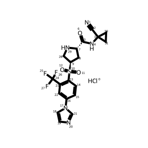 Cl.N#CC1(NC(=O)[C@@H]2C[C@@H](S(=O)(=O)c3ccc(-n4ccnc4)cc3C(F)(F)F)CN2)CC1